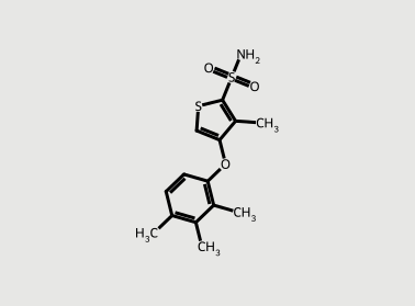 Cc1ccc(Oc2csc(S(N)(=O)=O)c2C)c(C)c1C